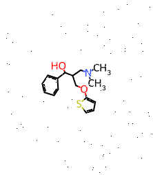 CN(C)CC(COc1cccs1)C(O)c1ccccc1